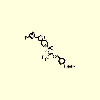 COc1ccc(COC[C@@H](OC(=O)N2CCC3(CC2)CC(n2cc(F)cn2)CO3)C(F)(F)F)cc1